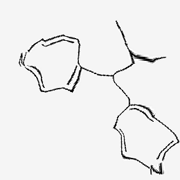 C[C](C)C(c1ccncc1)c1ccncc1